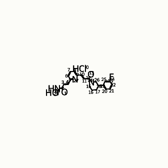 Cl.O=C(C=Cc1cccc(C=CC(=O)N2CCCC(c3cccc(F)c3)C2)n1)NO